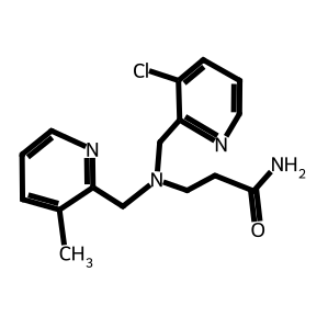 Cc1cccnc1CN(CCC(N)=O)Cc1ncccc1Cl